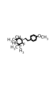 COc1ccc(CC[C@@H]2CC(C)(C)NC(C)(C)[C@@H]2F)cc1